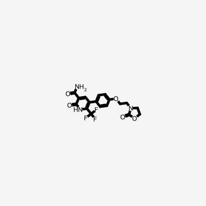 NC(=O)c1cc(-c2ccc(OCCN3CCOC3=O)cc2)c(C(F)(F)F)[nH]c1=O